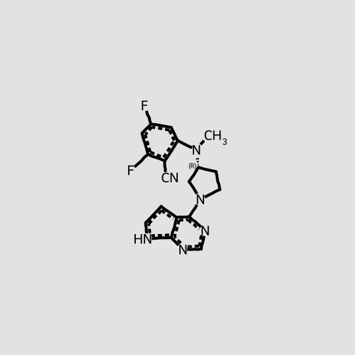 CN(c1cc(F)cc(F)c1C#N)[C@@H]1CCN(c2ncnc3[nH]ccc23)C1